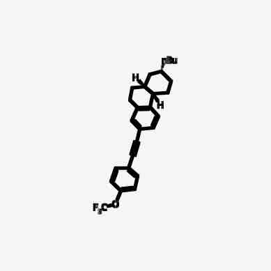 CCCC[C@@H]1CC[C@@H]2c3ccc(C#Cc4ccc(OC(F)(F)F)cc4)cc3CC[C@@H]2C1